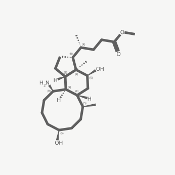 COC(=O)CC[C@@H](C)[C@H]1CC[C@H]2[C@H]3[C@H](C[C@H](O)[C@]12C)[C@@H](C)CC[C@@H](O)CCC[C@H]3N